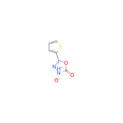 O=C1OC(c2cccs2)=N[NH+]1[O-]